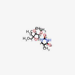 CCC1(CC)O[C@@H](n2cc(C)c(=O)[nH]c2=O)C(OC)[C@H]1OC